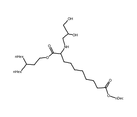 CCCCCCCCCCOC(=O)CCCCCCCC(NCC(O)CO)C(=O)OCCC(CCCCCC)CCCCCC